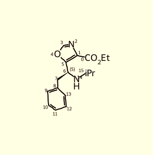 CCOC(=O)c1ncoc1[C@H](Cc1ccccc1)NC(C)C